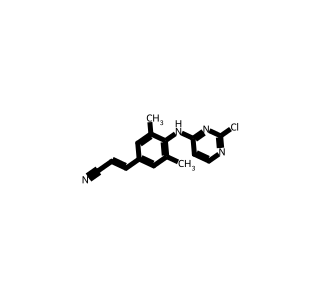 Cc1cc(C=CC#N)cc(C)c1Nc1ccnc(Cl)n1